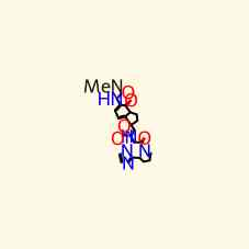 CNC(=O)NC1=CC=C2C(CCC23CN(CC(=O)N2CCCC2c2ncc[nH]2)C(=O)O3)C1=O